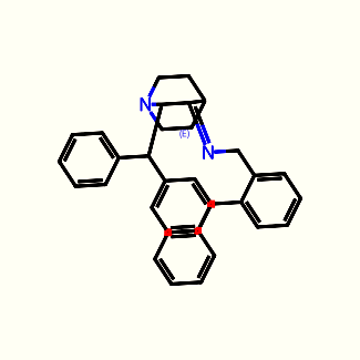 c1ccc(Cc2ccccc2C/N=C2\C3CCN(CC3)C2C(c2ccccc2)c2ccccc2)cc1